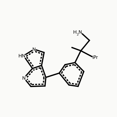 CC(C)C(C)(CN)c1cccc(-c2ccnc3[nH]ncc23)c1